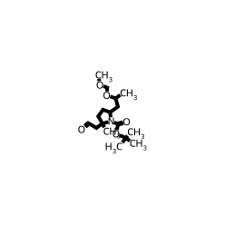 COCOC(C)CC1CCC(C)(CC=O)N1C(=O)OC(C)(C)C